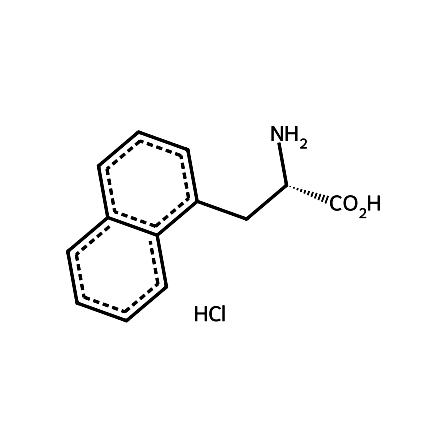 Cl.N[C@@H](Cc1cccc2ccccc12)C(=O)O